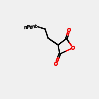 CCCCCCCC1C(=O)OC1=O